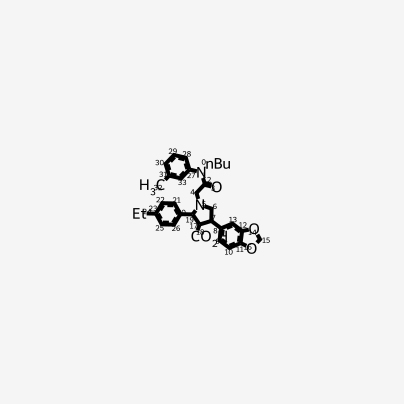 CCCCN(C(=O)CN1CC(c2ccc3c(c2)OCO3)C(C(=O)O)C1c1ccc(CC)cc1)c1cccc(C)c1